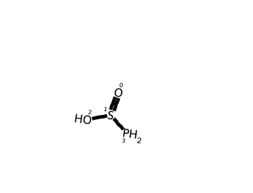 O=S(O)P